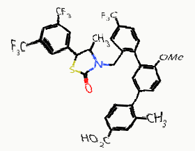 COc1ccc(-c2ccc(C(=O)O)cc2C)cc1-c1ccc(C(F)(F)F)cc1CN1C(=O)SC(c2cc(C(F)(F)F)cc(C(F)(F)F)c2)C1C